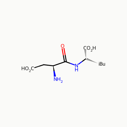 CC[C@@H](C)[C@H](NC(=O)[C@@H](N)CC(=O)O)C(=O)O